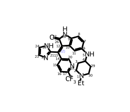 CCN1CCC(Nc2ccc3c(c2)/C(=C(\c2ccc(C(F)(F)F)nc2)c2ncc[nH]2)C(=O)N3)CC1